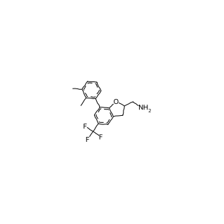 Cc1cccc(-c2cc(C(F)(F)F)cc3c2OC(CN)C3)c1C